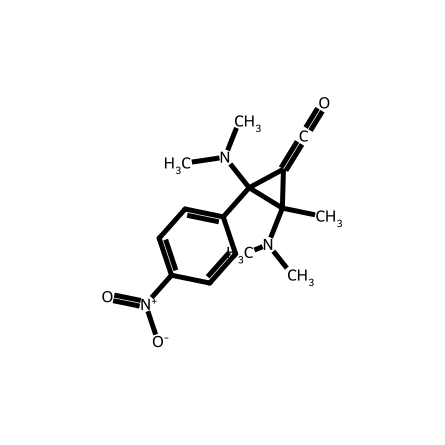 CN(C)C1(C)C(=C=O)C1(c1ccc([N+](=O)[O-])cc1)N(C)C